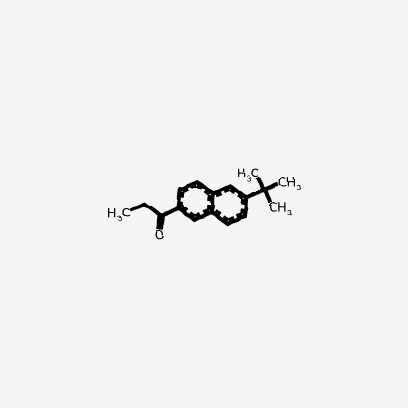 CCC(=O)c1ccc2cc(C(C)(C)C)ccc2c1